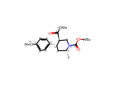 COC(=O)[C@H]1CN(C(=O)OC(C)(C)C)[C@H](C)C[C@@H]1c1ccc(OC)cc1